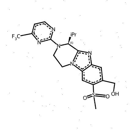 CC(C)[C@H]1c2nc3cc(CO)c(S(C)(=O)=O)cc3n2CCN1c1nccc(C(F)(F)F)n1